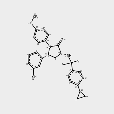 CC(C)(N[C@@H]1C[C@H](c2cccc(C#N)c2)N(c2ccc(OC(F)(F)F)cc2)C1=O)c1ccc(C2CC2)nc1